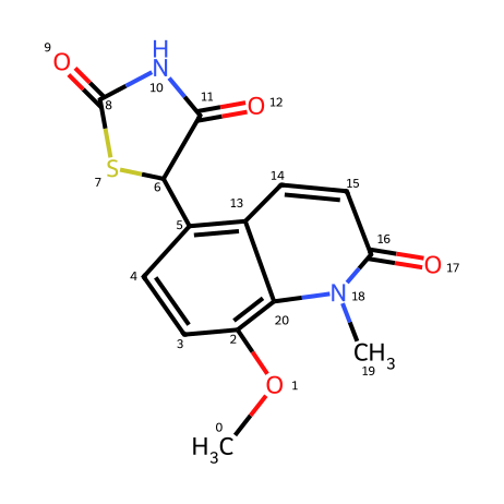 COc1ccc(C2SC(=O)NC2=O)c2ccc(=O)n(C)c12